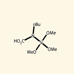 CCCCN(C(=O)O)[Si](OC)(OC)OC